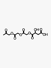 CC(=O)COC(=O)COC(=O)COC(=O)C(O)CC(=O)O